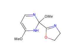 COC1=CC=NC(OC)(C2=NCCO2)N1